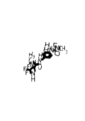 CCn1nc(C(=O)NCc2ccc(NC(=O)N(C)C)cc2)c2c1C(C(F)(F)F)CNC2